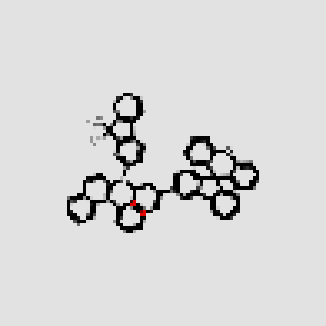 CC1(C)C2=C(C=CCC2)c2ccc(N(c3ccc4ccccc4c3-c3ccccc3)C3C=CC=C(c4ccc5c(c4)-c4ccccc4C54c5ccccc5Oc5ccccc54)C3)cc21